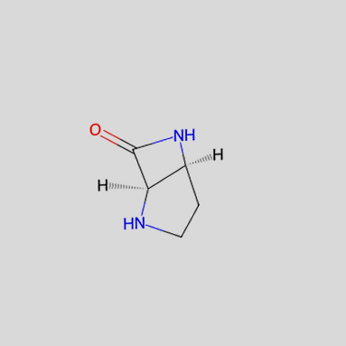 O=C1N[C@H]2CCN[C@@H]12